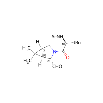 CC(=O)N[C@H](C(=O)N1C[C@H]2[C@@H]([C@H]1C=O)C2(C)C)C(C)(C)C